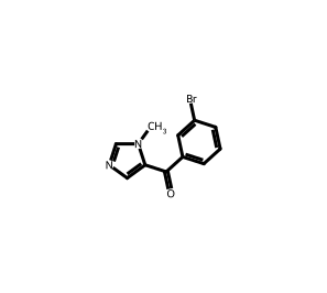 Cn1cncc1C(=O)c1cccc(Br)c1